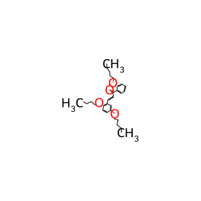 CCCCCOc1ccc(OCCCCC)c(C=CC(=O)c2ccccc2OCCCCC)c1